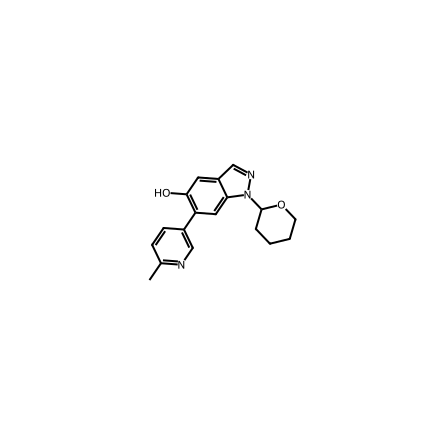 Cc1ccc(-c2cc3c(cnn3C3CCCCO3)cc2O)cn1